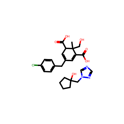 CC1(CO)C(C(=O)O)=CC(Cc2ccc(Cl)cc2)=CC1C(=O)O.OC1(Cn2cncn2)CCCC1